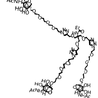 CCC(=O)NC(COCc1cn(CCOCCOCCOCCOC[C@@]23CO[C@@H](O2)[C@H](NC(C)=O)[C@@H](O)[C@H]3O)nn1)(COCc1cn(CCOCCOCCOCCOC[C@@]23CO[C@@H](O2)[C@H](NC(C)=O)[C@@H](O)[C@H]3O)nn1)COCc1cn(CCOCCOCCOCCO[C@@]23CO[C@@H](O2)[C@H](NC(C)=O)[C@@H](O)[C@H]3O)nn1